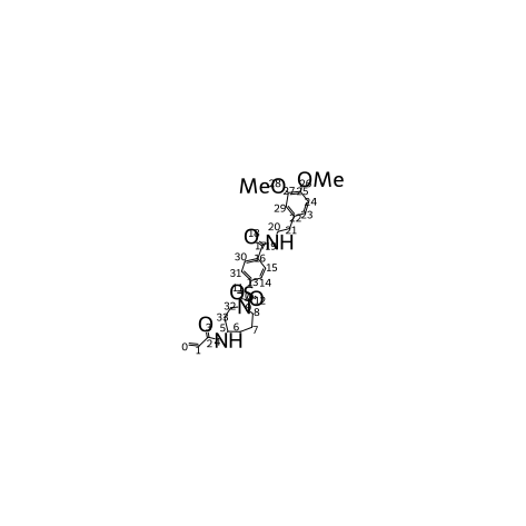 C=CC(=O)NC1CCCN(S(=O)(=O)c2ccc(C(=O)NCCc3ccc(OC)c(OC)c3)cc2)CC1